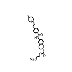 COCCOC(=O)CC1CCc2cc(NC(=O)c3ccc(C=NN4CCN(C)CC4)cc3)ccc2C1